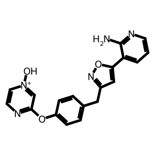 Nc1ncccc1-c1cc(Cc2ccc(Oc3c[n+](O)ccn3)cc2)no1